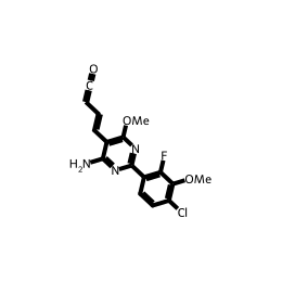 COc1nc(-c2ccc(Cl)c(OC)c2F)nc(N)c1C=CC=C=O